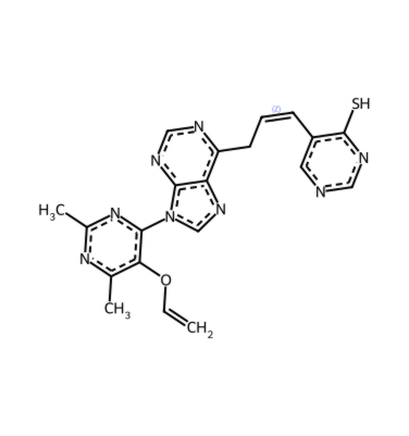 C=COc1c(C)nc(C)nc1-n1cnc2c(C/C=C\c3cncnc3S)ncnc21